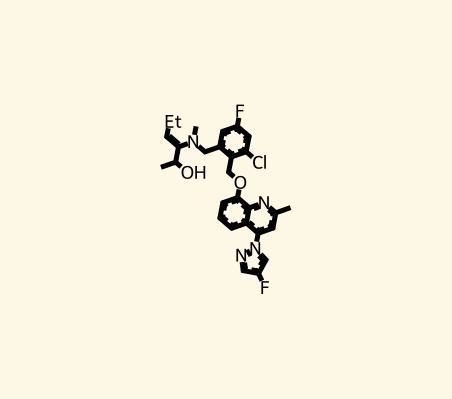 CC/C=C(/C(C)O)N(C)Cc1cc(F)cc(Cl)c1COc1cccc2c(-n3cc(F)cn3)cc(C)nc12